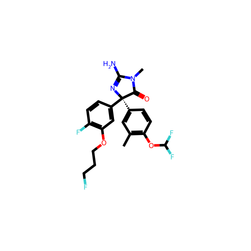 Cc1cc([C@]2(c3ccc(F)c(OCCCF)c3)N=C(N)N(C)C2=O)ccc1OC(F)F